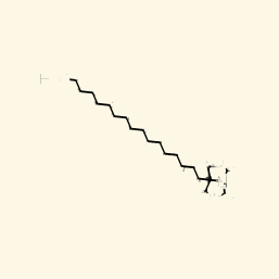 CCCCCCCCCCCCCCCCCC12COCN1COC2